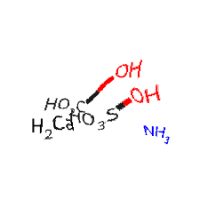 N.O=C(O)O.O=S(=O)(O)O.[CaH2]